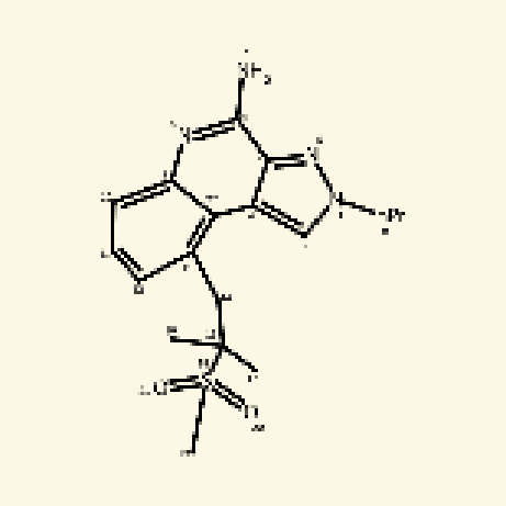 CCCn1cc2c(n1)c(N)nc1cccc(CC(C)(C)S(C)(=O)=O)c12